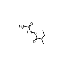 CCC(C)C(=O)ONC(N)=O